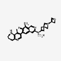 Cc1c(-c2cc3cc(N(C(=O)O)C4CC5(C4)CN(C4COC4)C5)ncc3c(N)c2F)cnc2c1NCCC2